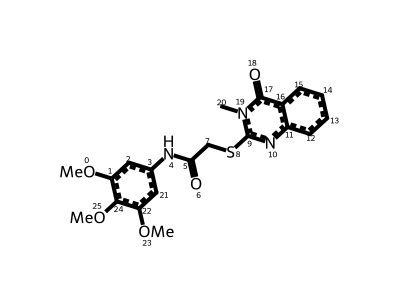 COc1cc(NC(=O)CSc2nc3ccccc3c(=O)n2C)cc(OC)c1OC